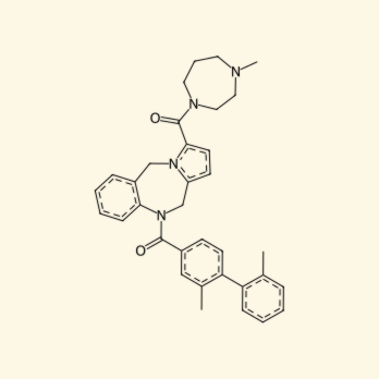 Cc1ccccc1-c1ccc(C(=O)N2Cc3ccc(C(=O)N4CCCN(C)CC4)n3Cc3ccccc32)cc1C